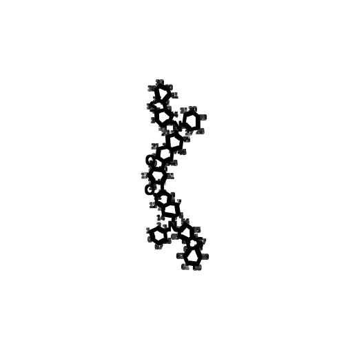 c1ccc(N(c2ccc3cc4c(cc3c2)oc2cc3oc5cc6cc(N(c7ccccc7)c7ccc8sc9ccccc9c8c7)ccc6cc5c3cc24)c2ccc3sc4ccccc4c3c2)cc1